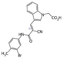 Cc1ccc(NC(=O)/C(C#N)=C/c2cn(CC(=O)O)c3ccccc23)cc1Br